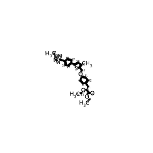 CCOC(=O)[C@H](Cc1ccc(OCc2sc(-c3ccc(-c4nnn(C)n4)cc3)cc2C)cc1)OCC